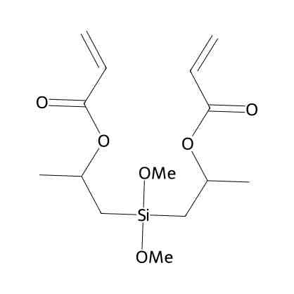 C=CC(=O)OC(C)C[Si](CC(C)OC(=O)C=C)(OC)OC